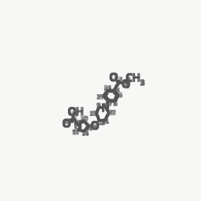 COC(=O)c1ccc(N2CCC(O[C@H]3CCN(C(=O)O)C3)CC2)cc1